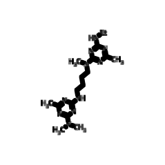 CCNc1nc(C)nc(N(C)CCCCNc2nc(C)nc(N(C)C)n2)n1